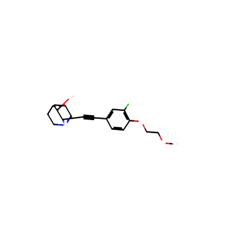 COCCOc1ccc(C#CC2C(O)C3CCN2CC3)cc1Cl